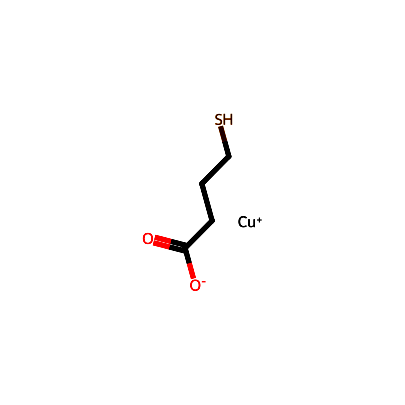 O=C([O-])CCCS.[Cu+]